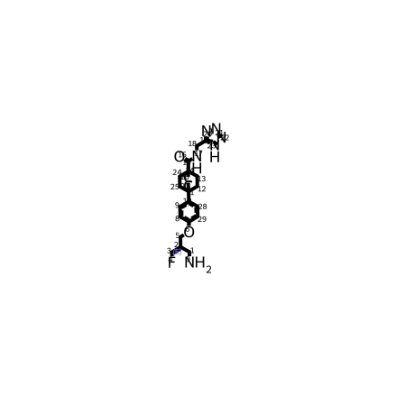 NC/C(=C\F)COc1ccc(C23CCC(C(=O)NCc4nnn[nH]4)(CC2)CC3)cc1